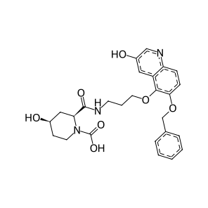 O=C(NCCCOc1c(OCc2ccccc2)ccc2ncc(O)cc12)[C@@H]1C[C@H](O)CCN1C(=O)O